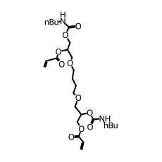 C=CC(=O)OCC(COCCCCOCC(COC(=O)NCCCC)OC(=O)C=C)OC(=O)NCCCC